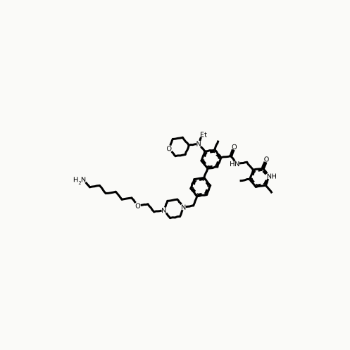 CCN(c1cc(-c2ccc(CN3CCN(CCOCCCCCCN)CC3)cc2)cc(C(=O)NCc2c(C)cc(C)[nH]c2=O)c1C)C1CCOCC1